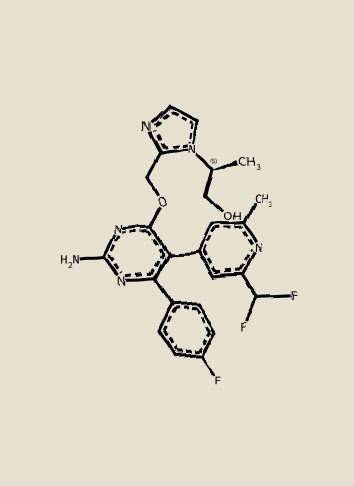 Cc1cc(-c2c(OCc3nccn3[C@@H](C)CO)nc(N)nc2-c2ccc(F)cc2)cc(C(F)F)n1